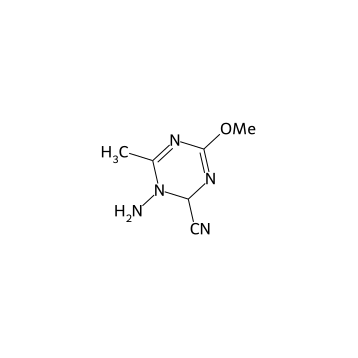 COC1=NC(C#N)N(N)C(C)=N1